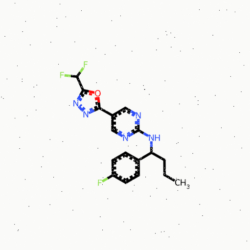 CCCC(Nc1ncc(-c2nnc(C(F)F)o2)cn1)c1ccc(F)cc1